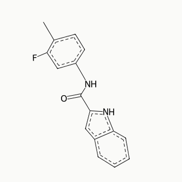 Cc1ccc(NC(=O)c2cc3ccccc3[nH]2)cc1F